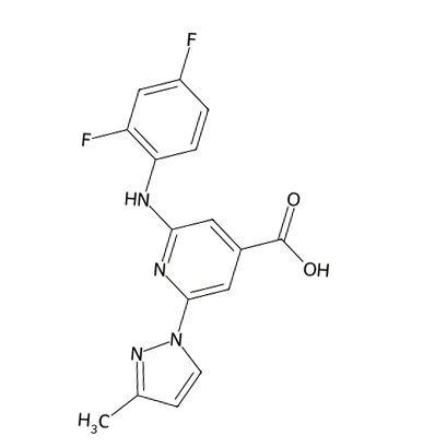 Cc1ccn(-c2cc(C(=O)O)cc(Nc3ccc(F)cc3F)n2)n1